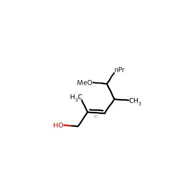 CCCC(OC)C(C)/C=C(\C)CO